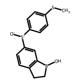 CSc1ccc([S+]([O-])c2ccc3c(c2)B(O)CC3)cc1